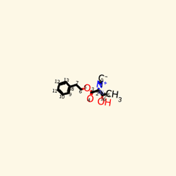 [C-]#[N+]/C(C(=O)OCCc1ccccc1)=C(\C)O